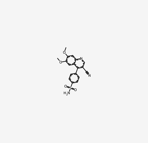 COc1cc2ncc(C#N)c(-c3ccc(S(N)(=O)=O)cc3)c2cc1OC